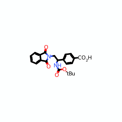 CC(C)(C)OC(=O)NC(CN1C(=O)c2ccccc2C1=O)c1ccc(C(=O)O)cc1